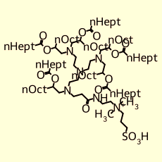 CCCCCCCCC(CN(CCC(=O)NCC[N+](C)(C)CCCS(=O)(=O)O)CCN(CCN(CC(CCCCCCCC)OC(=O)CCCCCCC)CC(CCCCCCCC)OC(=O)CCCCCCC)CCN(CC(CCCCCCCC)OC(=O)CCCCCCC)CC(CCCCCCCC)OC(=O)CCCCCCC)OC(=O)CCCCCCC